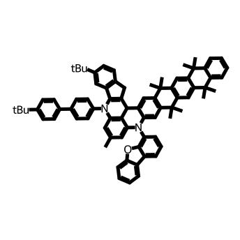 Cc1cc2c3c(c1)N(c1cccc4c1oc1ccccc14)c1cc4c(cc1C3C1=C(c3cc(C(C)(C)C)ccc3C1)N2c1ccc(-c2ccc(C(C)(C)C)cc2)cc1)C(C)(C)c1cc2c(cc1C4(C)C)C(C)(C)c1ccccc1C2(C)C